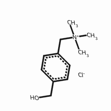 C[N+](C)(C)Cc1ccc(CO)cc1.[Cl-]